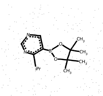 CC(C)c1ncncc1B1OC(C)(C)C(C)(C)O1